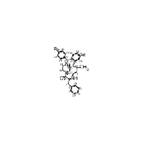 CC(C)CCNC(Cc1ccccc1)C(=O)N1CCN(C(c2ccc(F)cc2)c2ccc(F)cc2)CC1